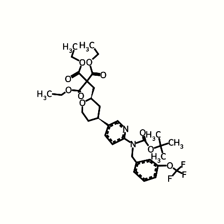 CCOC(=O)C(C[C@H]1C[C@@H](c2ccc(N(Cc3cccc(OC(F)(F)F)c3)C(=O)OC(C)(C)C)nc2)CCO1)(C(=O)OCC)C(=O)OCC